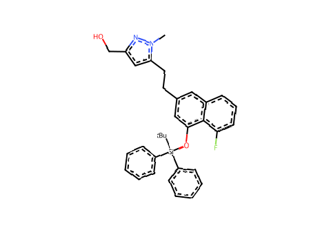 Cn1nc(CO)cc1CCc1cc(O[Si](c2ccccc2)(c2ccccc2)C(C)(C)C)c2c(F)cccc2c1